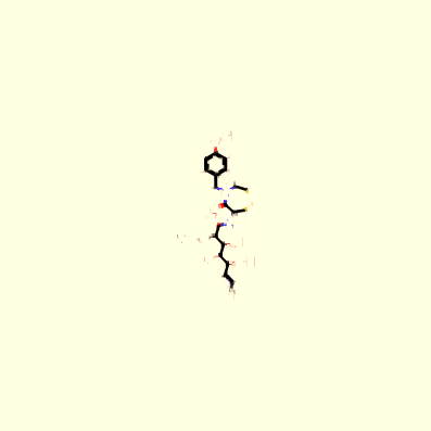 CCCCOc1ccc(CN2CCSC[C@H](NC(=O)[C@H](OC)[C@H](O)[C@@H](O)[C@H](O)/C=C/C(C)(C)C)C2=O)cc1